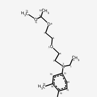 CCN(CCOCCOC(C)OC)c1ccc(N)c(C)c1